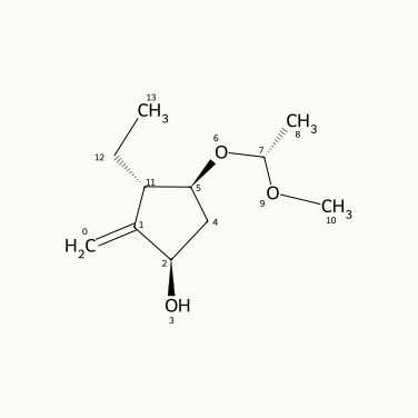 C=C1[C@H](O)C[C@H](O[C@H](C)OC)[C@H]1CC